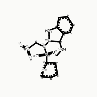 CNC1c2ccccc2NN1N(C[SH](=O)=O)S(=O)(=O)c1ccccc1